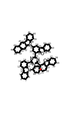 c1ccc(-n2c3ccccc3c3cccc(-c4nc(-c5cccc6c5oc5ccccc56)nc(-c5cc(-n6c7ccccc7c7cc8ccccc8cc76)cc6c5oc5ccccc56)n4)c32)cc1